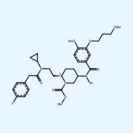 COCCCOc1cc(C(=O)N(C(C)C)C2CC[C@H](CCN(C(=O)Cc3ccc(F)cc3)C3CC3)N(C(=O)OC(C)(C)C)C2)ccc1OC